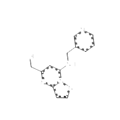 OCc1cc(NCc2cccnc2)n2nccc2n1